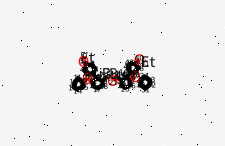 CCOc1ccc(C2(C(C)CC)C(Oc3ccccc3)=CC=CC2COCC2C=CC=C(Oc3ccccc3)C2(c2ccc(OCC)cc2)C(C)CC)cc1